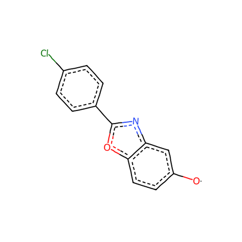 [O]c1ccc2oc(-c3ccc(Cl)cc3)nc2c1